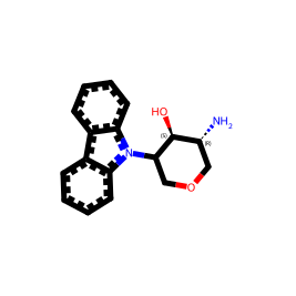 N[C@@H]1COCC(n2c3ccccc3c3ccccc32)[C@H]1O